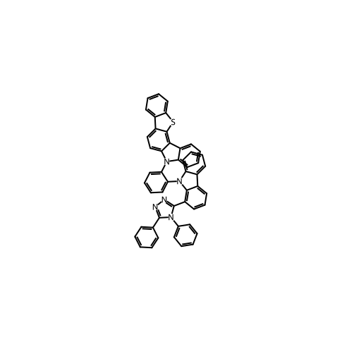 c1ccc(-c2nnc(-c3cccc4c5ccccc5n(-c5ccccc5-n5c6ccccc6c6c7sc8ccccc8c7ccc65)c34)n2-c2ccccc2)cc1